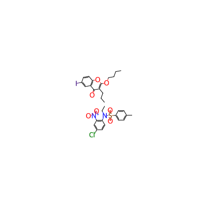 CCCCOc1oc2ccc(I)cc2c(=O)c1CCC.CCN(c1ccc(Cl)cc1[N+](=O)[O-])S(=O)(=O)c1ccc(C)cc1